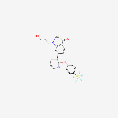 O=c1ccn(CCCO)c2cc(-c3cccnc3Oc3ccc(S(F)(F)(F)(F)F)cc3)ccc12